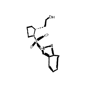 O=S(=O)(N1CCC[C@@H]1CCO)n1cc2ccccc2n1